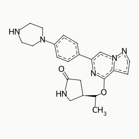 CC(Oc1nc(-c2ccc(N3CCNCC3)cc2)cn2nccc12)[C@H]1CNC(=O)C1